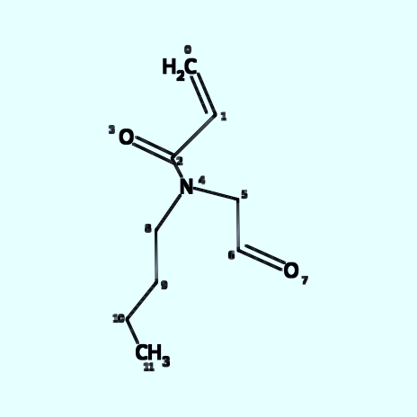 C=CC(=O)N(CC=O)CCCC